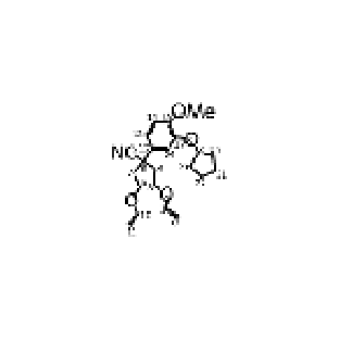 C=COCCC(C#N)(CCOC=C)c1ccc(OC)c(OC2CCCC2)c1